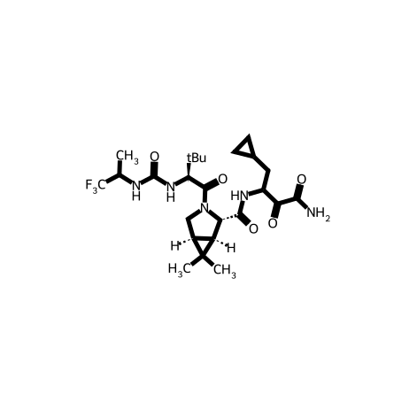 CC(NC(=O)N[C@H](C(=O)N1C[C@H]2[C@@H]([C@H]1C(=O)NC(CC1CC1)C(=O)C(N)=O)C2(C)C)C(C)(C)C)C(F)(F)F